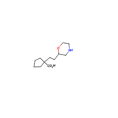 O=C(O)C1(CCC2CNCCO2)CCCC1